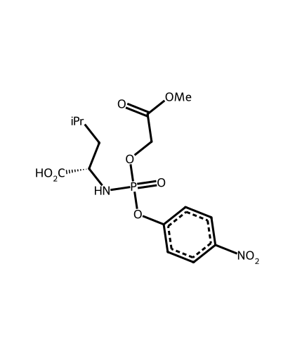 COC(=O)COP(=O)(N[C@@H](CC(C)C)C(=O)O)Oc1ccc([N+](=O)[O-])cc1